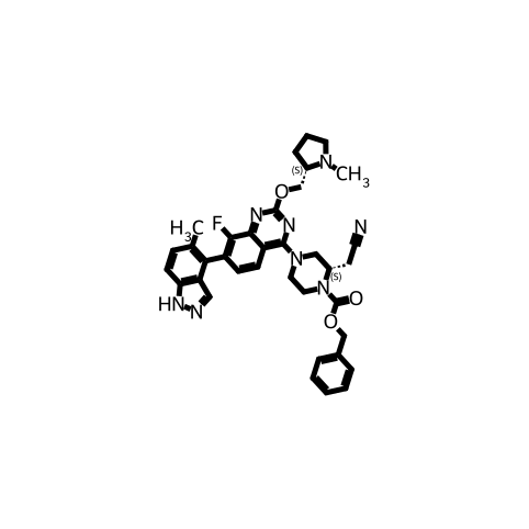 Cc1ccc2[nH]ncc2c1-c1ccc2c(N3CCN(C(=O)OCc4ccccc4)[C@@H](CC#N)C3)nc(OC[C@@H]3CCCN3C)nc2c1F